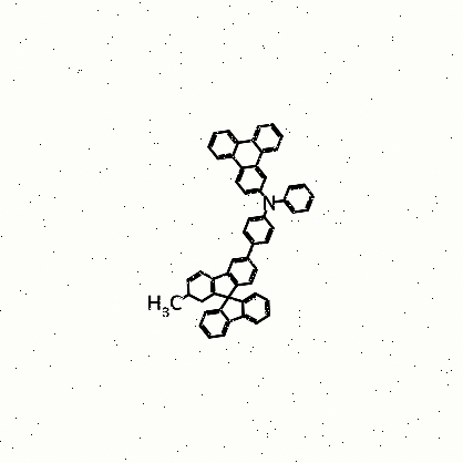 CC1C=CC2=C(C1)C1(c3ccc(-c4ccc(N(c5ccccc5)c5ccc6c7ccccc7c7ccccc7c6c5)cc4)cc32)c2ccccc2-c2ccccc21